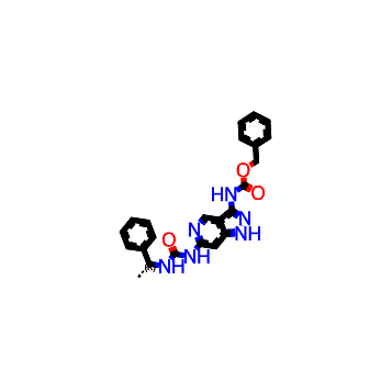 C[C@@H](NC(=O)Nc1cc2[nH]nc(NC(=O)OCc3ccccc3)c2cn1)c1ccccc1